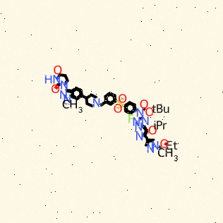 CCOC(C)n1cc(-c2ncn3nc(N(C(=O)OC(C)(C)C)c4ccc(S(=O)(=O)c5cccc(CN6CCC(c7ccc8c(N9CCC(=O)NC9=O)nn(C)c8c7)CC6)c5)cc4F)nc3c2OC(C)C)cn1